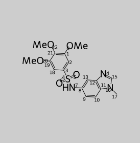 COc1cc(S(=O)(=O)Nc2ccc3c(c2)ncn3C)cc(OC)c1OC